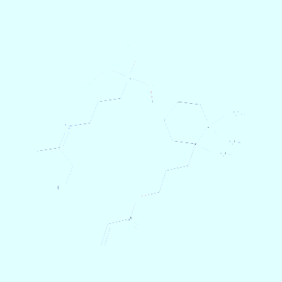 C=CC(=O)OCCCC1(OC)CCCC[Si]1(OC)OC.CCO[Si](CCCN=C(C)CC(C)C)(OCC)OCC